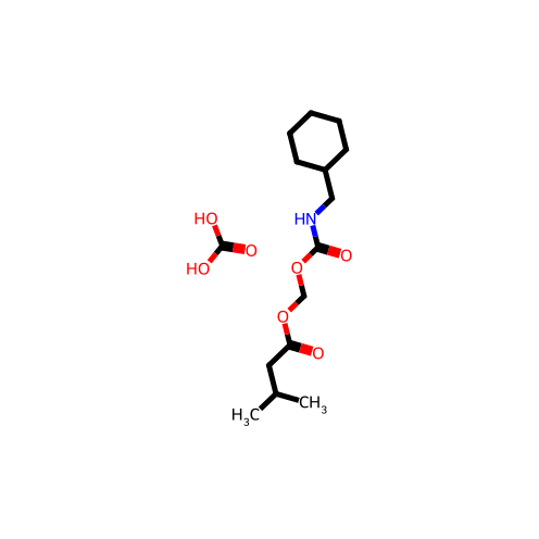 CC(C)CC(=O)OCOC(=O)NCC1CCCCC1.O=C(O)O